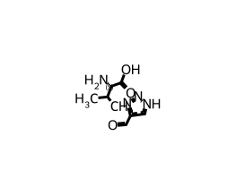 CC(C)[C@H](N)C(=O)O.O=Cc1c[nH]nn1